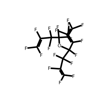 FC(F)=C(F)C(F)(F)C(F)(OC(F)(C(F)=C(F)F)C(F)(F)C(F)=C(F)F)C(F)=C(F)F